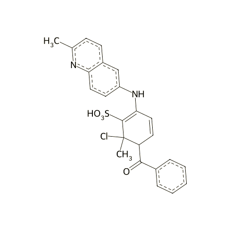 Cc1ccc2cc(NC3=C(S(=O)(=O)O)C(C)(Cl)C(C(=O)c4ccccc4)C=C3)ccc2n1